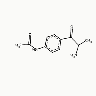 CC(=O)Nc1ccc(C(=O)C(C)N)cc1